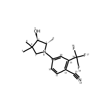 C[C@H]1[C@H](O)C(C)(C)CN1c1ccc(C#N)c(C(F)(F)F)c1